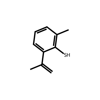 C=C(C)c1cccc(C)c1S